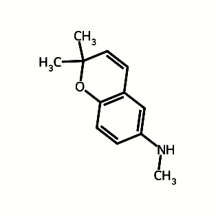 CNc1ccc2c(c1)C=CC(C)(C)O2